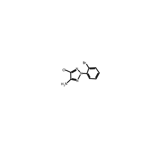 Nc1nn(-c2ccccc2Br)nc1Cl